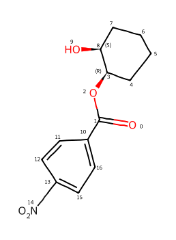 O=C(O[C@@H]1CCCC[C@@H]1O)c1ccc([N+](=O)[O-])cc1